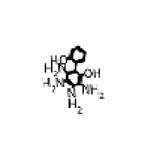 Nc1c(N)c(N)c(-c2ccccc2O)c(O)c1N